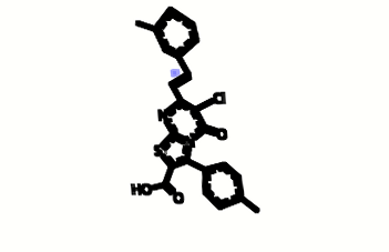 Cc1ccc(-c2c(C(=O)O)sc3nc(/C=C/c4cccc(C)c4)c(Cl)c(=O)n23)cc1